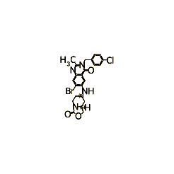 Cc1nc2cc(Br)c(N[C@H]3CCN4C(=O)OC[C@@H]4C3)cc2c(=O)n1Cc1ccc(Cl)cc1